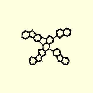 c1ccc2cc(-c3cc4c5c(c3)N(c3ccc6c(c3)sc3ccccc36)c3cc6sc7ccccc7c6cc3B5c3cc5c(cc3-4)sc3ccccc35)ccc2c1